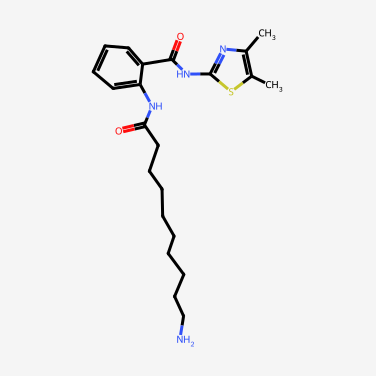 Cc1nc(NC(=O)c2ccccc2NC(=O)CCCCCCCCCN)sc1C